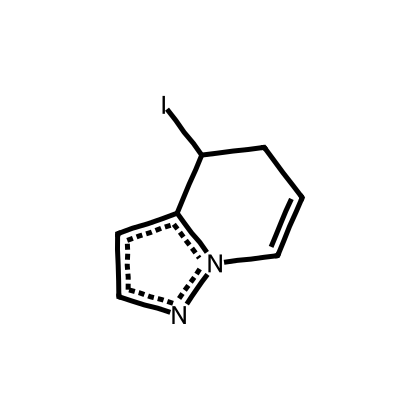 IC1CC=Cn2nccc21